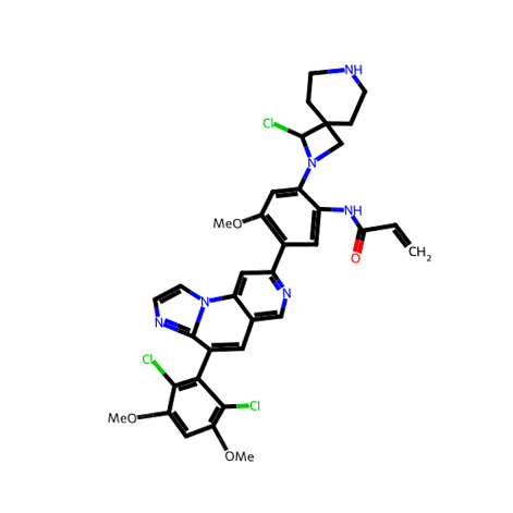 C=CC(=O)Nc1cc(-c2cc3c(cn2)cc(-c2c(Cl)c(OC)cc(OC)c2Cl)c2nccn23)c(OC)cc1N1CC2(CCNCC2)C1Cl